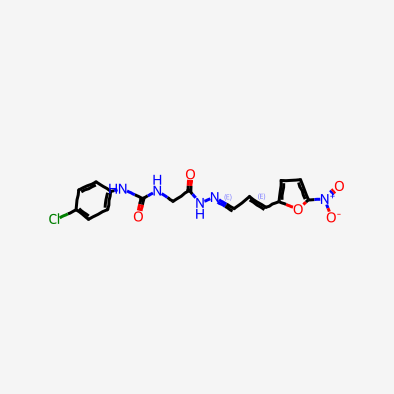 O=C(CNC(=O)Nc1ccc(Cl)cc1)N/N=C/C=C/c1ccc([N+](=O)[O-])o1